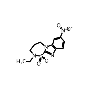 CCN1CCCn2c(nc3ccc([N+](=O)[O-])cc32)S1(=O)=O